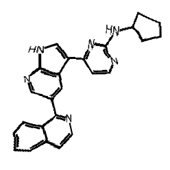 c1ccc2c(-c3cnc4[nH]cc(-c5ccnc(NC6CCCC6)n5)c4c3)nccc2c1